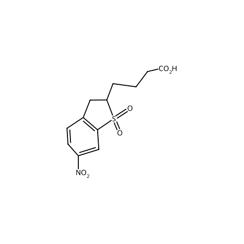 O=C(O)CCCC1Cc2ccc([N+](=O)[O-])cc2S1(=O)=O